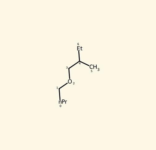 CCCCOCC(C)CC